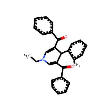 CCN1C=C(C(=O)c2ccccc2)C(c2ccccc2C)C(C(=O)c2ccccc2)=C1